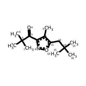 Cc1c(C(=O)C(C)(C)C)noc1CC(C)(C)C